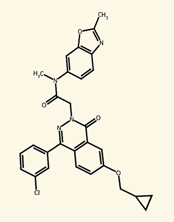 Cc1nc2ccc(N(C)C(=O)Cn3nc(-c4cccc(Cl)c4)c4ccc(OCC5CC5)cc4c3=O)cc2o1